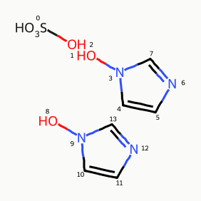 O=S(=O)(O)O.On1ccnc1.On1ccnc1